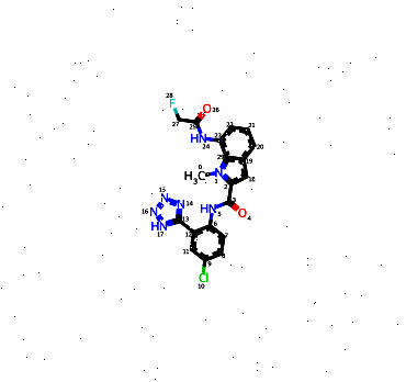 Cn1c(C(=O)Nc2ccc(Cl)cc2-c2nnn[nH]2)cc2cccc(NC(=O)CF)c21